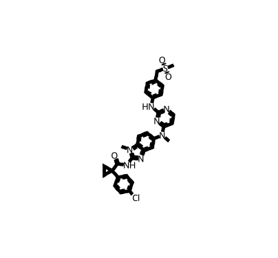 CN(c1ccc2c(c1)nc(NC(=O)C1(c3ccc(Cl)cc3)CC1)n2C)c1ccnc(Nc2ccc(CS(C)(=O)=O)cc2)n1